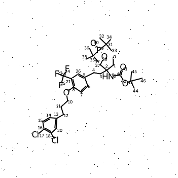 CCC(CCc1ccc(OCCCc2ccc(Cl)c(Cl)c2)c(C(F)(F)F)c1)(COP(=O)(C(C)(C)C)C(C)(C)C)NC(=O)OC(C)(C)C